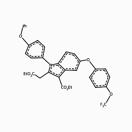 CCOC(=O)Cc1c(C(=O)OCC)c2cc(Oc3ccc(OC(F)(F)F)cc3)ccc2n1-c1ccc(OC(C)C)cc1